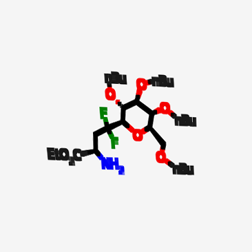 CCCCOC[C@H]1O[C@@H](C(F)(F)C[C@@H](N)C(=O)OCC)[C@H](OCCCC)[C@@H](OCCCC)[C@H]1OCCCC